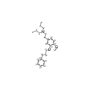 CCCN(CCC)CCc1ccc(OC)c(OCCCc2ccccc2)c1